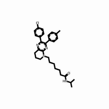 Cc1ccc(-c2nc3c(nc2-c2ccc(Cl)cc2)CCCN3CCCCCCC(=O)NC(C)C)cc1